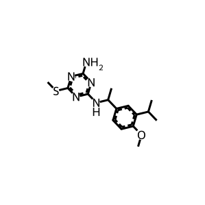 COc1ccc(C(C)Nc2nc(N)nc(SC)n2)cc1C(C)C